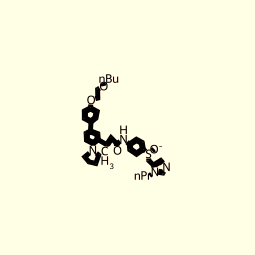 CCCCOCCOc1ccc(-c2ccc(N3CCCC3)c(/C(C)=C/C(=O)Nc3ccc([S+]([O-])Cc4cncn4CCC)cc3)c2)cc1